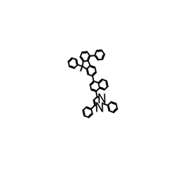 CC1(c2ccccc2)c2cc(-c3ccc(-c4cc(-c5ccccc5)nc(-c5ccccc5)n4)c4ccccc34)ccc2-c2c(-c3ccccc3)cccc21